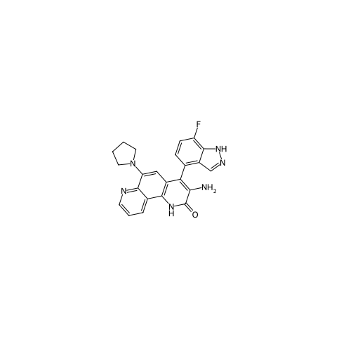 Nc1c(-c2ccc(F)c3[nH]ncc23)c2cc(N3CCCC3)c3ncccc3c2[nH]c1=O